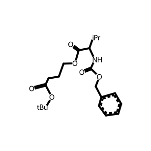 CC(C)C(NC(=O)OCc1ccccc1)C(=O)OCCCC(=O)OC(C)(C)C